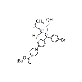 C\C=C/C=C(C)/C(CCCO)=C(/c1ccc(Br)cc1)c1ccc(N2CCN(C(=O)OC(C)(C)C)CC2)cc1